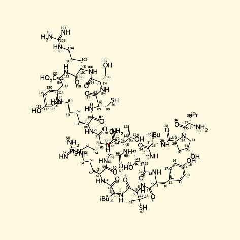 CC[C@H](C)[C@H](NC(=O)[C@@H](NC(=O)[C@H](Cc1ccc(O)cc1)NC(=O)[C@@H](NC(=O)[C@@H](NC(=O)[C@@H]1C[C@@H](O)CN1C(=O)[C@@H](N)C(C)C)[C@@H](C)CC)[C@@H](C)O)C(C)(C)S)C(=O)N[C@@H](CCCNC(=N)N)C(=O)N[C@@H](CCN)C(=O)N[C@H](C(=O)N[C@H](CCN)C(=O)N[C@@H](CCCCN)C(=O)N[C@@H](CS)C(=O)N[C@@H](CO)C(=O)N[C@@H](CCCNC(=N)N)C(=O)N[C@@H](Cc1ccc(O)cc1)C(=O)O)[C@@H](C)O